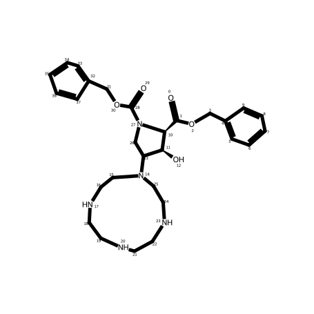 O=C(OCc1ccccc1)[C@H]1[C@@H](O)C(N2CCNCCNCCNCC2)CN1C(=O)OCc1ccccc1